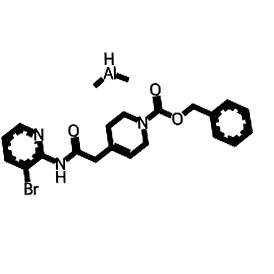 O=C(CC1=CCN(C(=O)OCc2ccccc2)CC1)Nc1ncccc1Br.[CH3][AlH][CH3]